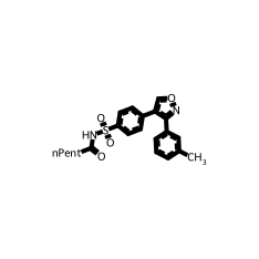 CCCCCC(=O)NS(=O)(=O)c1ccc(-c2conc2-c2cccc(C)c2)cc1